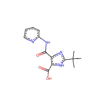 CC(C)(C)c1nc(C(=O)Nc2ccccn2)c(C(=O)O)[nH]1